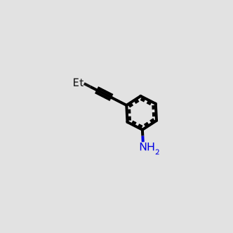 CCC#Cc1cccc(N)c1